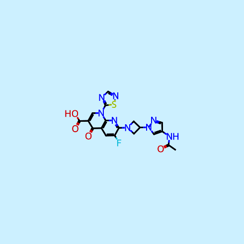 CC(=O)Nc1cnn(C2CN(c3nc4c(cc3F)c(=O)c(C(=O)O)cn4-c3ncns3)C2)c1